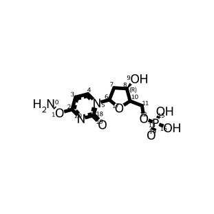 NOc1ccn(C2C[C@@H](O)C(COP(=O)(O)O)O2)c(=O)n1